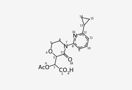 CC(=O)OC(C(=O)O)C1OCCN(c2cccc(C3CC3)n2)C1=O